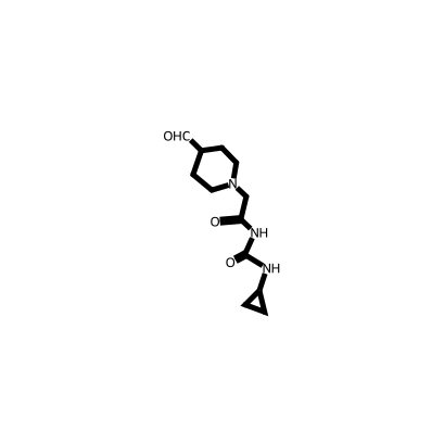 O=CC1CCN(CC(=O)NC(=O)NC2CC2)CC1